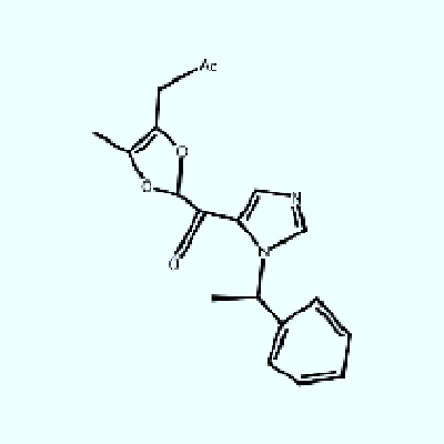 CC(=O)CC1=C(C)OC(C(=O)c2cncn2[C@H](C)c2ccccc2)O1